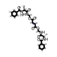 C[C@H](NC(=O)c1ccccc1)C(=O)NCOC(=O)/C=C/C(=O)OCNC(=O)[C@H](C)NC(=O)c1ccccc1